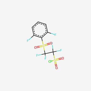 O=S(=O)(Cl)C(F)(F)C(F)(F)S(=O)(=O)c1c(F)cccc1F